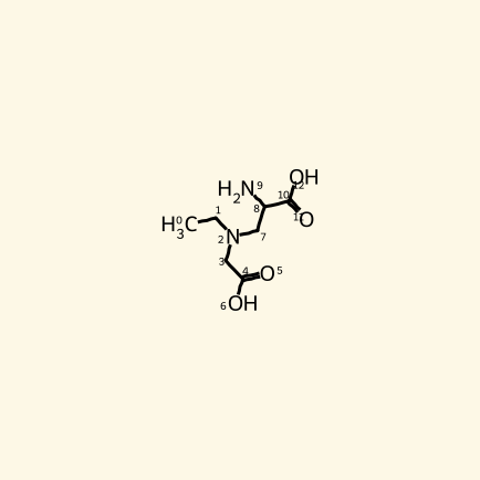 CCN(CC(=O)O)CC(N)C(=O)O